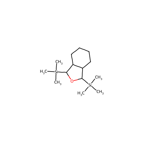 C[Si](C)(C)C1OC([Si](C)(C)C)C2CCCCC21